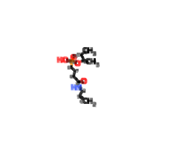 C=CCNC(=O)CCCP(=O)(O)OC(C)CC